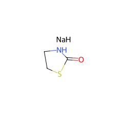 O=C1NCCS1.[NaH]